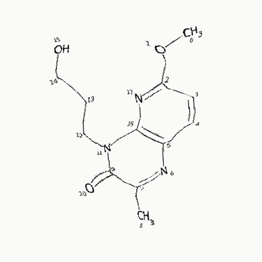 COc1ccc2nc(C)c(=O)n(CCCO)c2n1